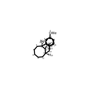 COc1ccc2c(c1)[C@H]1CCCCC[C@@H](C2)[C@@H]1N(C)C